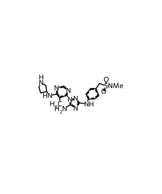 CNS(=O)(=O)Cc1ccc(Nc2nc(N)n(-c3ncnc(NC4CCNC4)c3C)n2)cc1